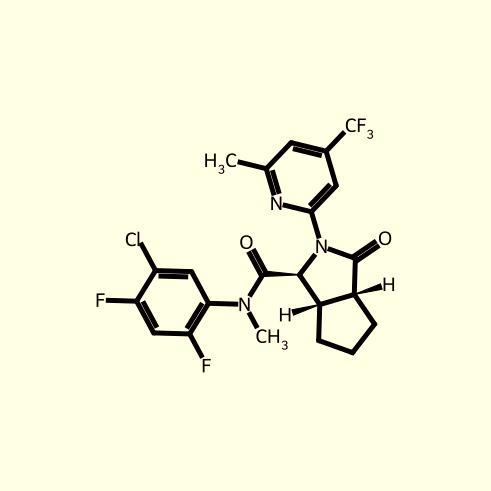 Cc1cc(C(F)(F)F)cc(N2C(=O)[C@@H]3CCC[C@@H]3[C@H]2C(=O)N(C)c2cc(Cl)c(F)cc2F)n1